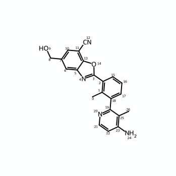 Cc1c(-c2nc3cc(CO)cc(C#N)c3o2)cccc1-c1nccc(N)c1C